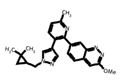 COc1cc2ccc(-c3nc(C)ccc3-c3cnn(CC4CC4(C)C)c3)cc2nn1